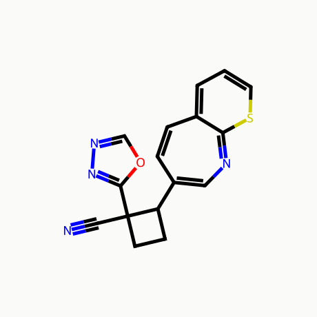 N#CC1(c2nnco2)CCC1C1=CN=C2SC=CC=C2C=C1